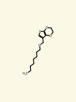 CCCCCCCCOCc1csc2c1OCCO2